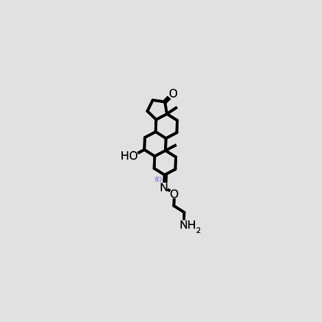 CC12CCC3C(CC(O)C4C/C(=N/OCCN)CCC43C)C1CCC2=O